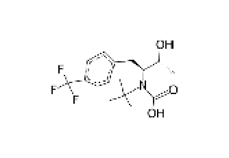 C[C@@H](O)[C@H](Cc1ccc(C(F)(F)F)cc1)N(C(=O)O)C(C)(C)C